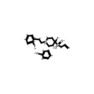 C=CCS(=O)(=O)C1(F)CCN(CCc2ccccc2F)CC1.Fc1ccccc1